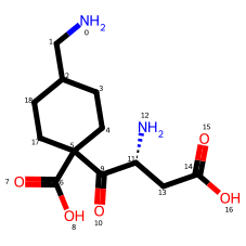 NCC1CCC(C(=O)O)(C(=O)[C@H](N)CC(=O)O)CC1